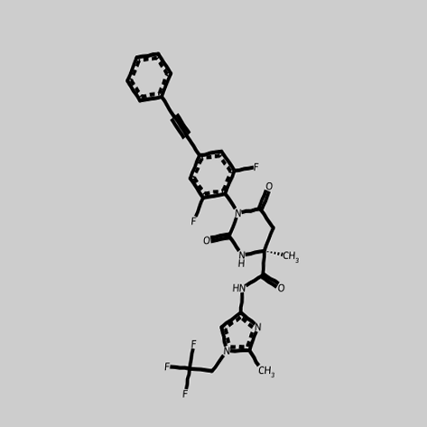 Cc1nc(NC(=O)[C@]2(C)CC(=O)N(c3c(F)cc(C#Cc4ccccc4)cc3F)C(=O)N2)cn1CC(F)(F)F